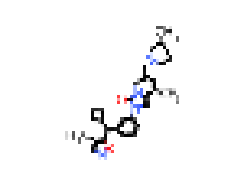 Cc1cnoc1C(c1cccc(-n2cc3c(C(F)(F)F)cc(CN4CCC[C@H](C)C4)cn3c2=O)c1)C1CCC1